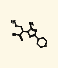 COCC(C([NH])=S)n1nc(N2CCOCC2)nc1N